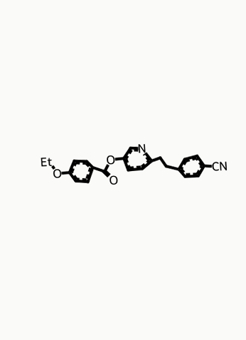 CCOc1ccc(C(=O)Oc2ccc(CCc3ccc(C#N)cc3)nc2)cc1